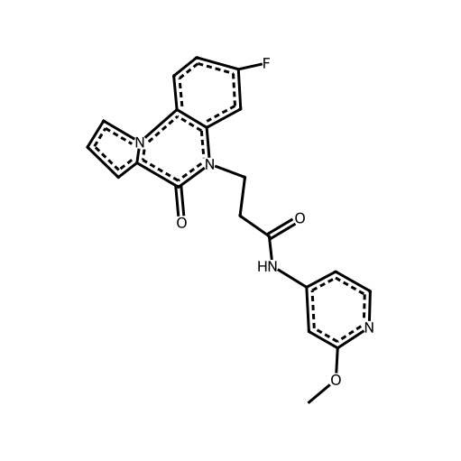 COc1cc(NC(=O)CCn2c(=O)c3cccn3c3ccc(F)cc32)ccn1